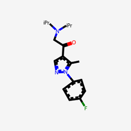 Cc1c(C(=O)CN(C(C)C)C(C)C)cnn1-c1ccc(F)cc1